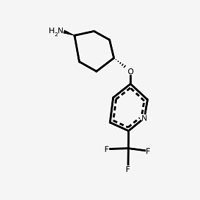 N[C@H]1CC[C@H](Oc2ccc(C(F)(F)F)nc2)CC1